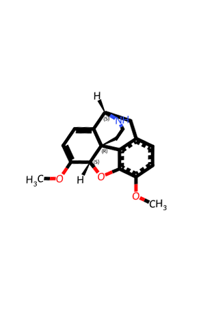 COC1=CC=C2[C@@H]3Cc4ccc(OC)c5c4[C@]2(CCN3)[C@@H]1O5